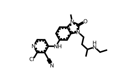 CCNC(C)CCn1c(=O)n(C)c2ccc(Nc3ccnc(Cl)c3C#N)cc21